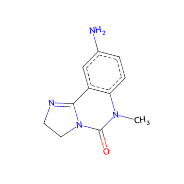 CN1C(=O)N2CCN=C2c2cc(N)ccc21